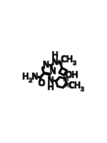 C[C@H](Nc1ncc(C(N)=O)c(NC2CC[C@@H](C)[C@H](O)C2)n1)C1CCC1